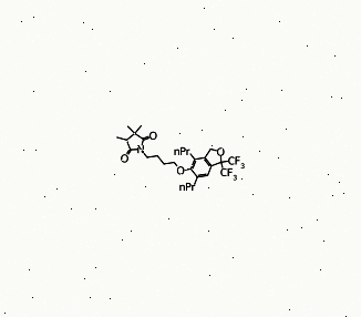 CCCc1cc2c(c(CCC)c1OCCCCN1C(=O)C(C)C(C)(C)C1=O)COC2(C(F)(F)F)C(F)(F)F